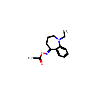 CCN1CCC/C(=N\OC(C)=O)c2ccccc21